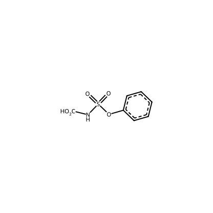 O=C(O)NS(=O)(=O)Oc1ccccc1